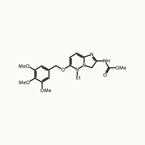 CCN1C(OCc2cc(OC)c(OC)c(OC)c2)=CC=C2N=C(NC(=O)OC)CN21